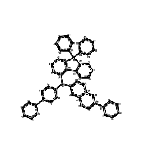 c1ccc(-c2ccc(N(c3ccc4cc(-c5ccccc5)ccc4c3)c3cccc4c3-c3ccccc3C4(c3ccccc3)c3ccccc3)cc2)cc1